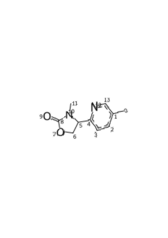 Cc1ccc(C2COC(=O)N2C)nc1